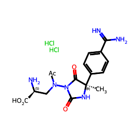 CC(=O)N(C[C@H](N)C(=O)O)N1C(=O)N[C@](C)(c2ccc(C(=N)N)cc2)C1=O.Cl.Cl